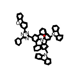 C1=CCC(c2nc(-c3cc(C4=CCCCC4)c(-n4c5ccc(Cn6c7ccccc7c7ccccc76)cc5c5cc(-n6c7ccccc7c7ccccc76)ccc54)c(-c4ccccc4)c3)nc(-c3ccc4c(c3)oc3ccccc34)n2)CC1